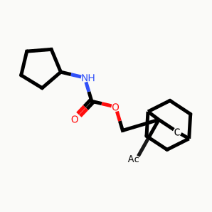 CC(=O)C1(COC(=O)NC2CCCC2)CC2CCC1CC2